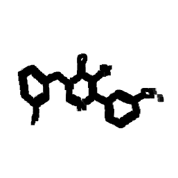 O=c1c(Br)c(-c2cccc(C(F)(F)F)c2)ncn1Cc1cccc(F)c1